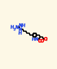 COC(=O)CC1Cc2ccc(CCCCCCNC(=N)N)cc2NC1=O